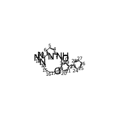 O=C1Nc2cccc(n2)-c2nncn2CCCCOc2ccc(-c3ccccc3)cc21